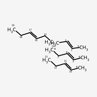 C/C=C/C.C/C=C/CC.C/C=C/CC.CC/C=C/CC